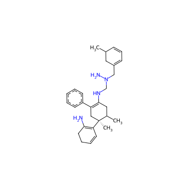 CC1C=CC=C(CN(N)CNC2=C(c3ccccc3)C[C@](C)(C3=C(N)CCC=C3)C(C)C2)C1